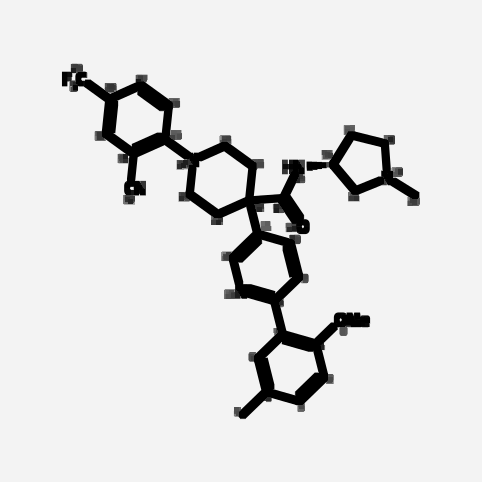 COc1ccc(C)cc1-c1ccc(C2(C(=O)N[C@@H]3CCN(C)C3)CCN(c3ccc(C(F)(F)F)cc3C#N)CC2)cn1